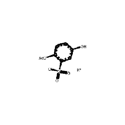 CC(=O)Oc1ccc(O)cc1S(=O)(=O)[O-].[K+]